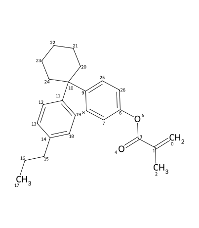 C=C(C)C(=O)Oc1ccc(C2(c3ccc(CCC)cc3)CCCCC2)cc1